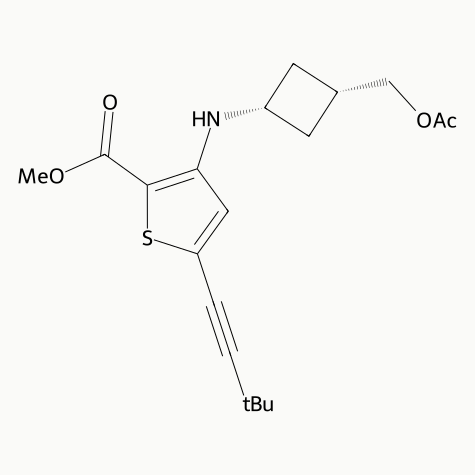 COC(=O)c1sc(C#CC(C)(C)C)cc1N[C@H]1C[C@@H](COC(C)=O)C1